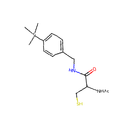 CC(=O)NC(CS)C(=O)NCc1ccc([Si](C)(C)C)cc1